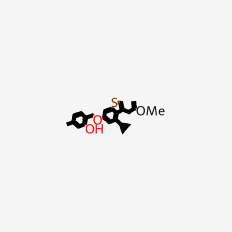 C=C(Cc1csc2cc(OCc3ccc(C)cc3O)cc(C3CC3)c12)OC